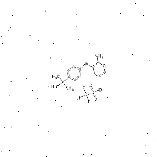 Cc1ccccc1[I+]c1ccc(C(C)(C)C)cc1.O=S(=O)([O-])C(F)(F)F